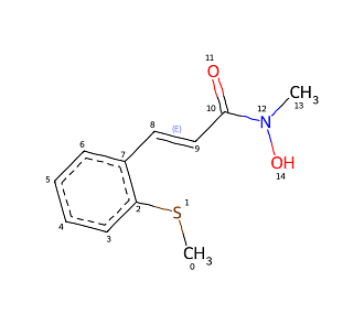 CSc1ccccc1/C=C/C(=O)N(C)O